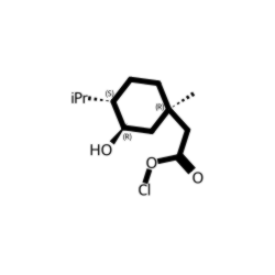 CC(C)[C@@H]1CC[C@@](C)(CC(=O)OCl)C[C@H]1O